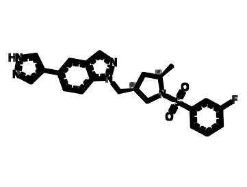 C[C@@H]1C[C@H](Cn2ncc3cc(-c4cn[nH]c4)ccc32)CN1S(=O)(=O)c1cccc(F)c1